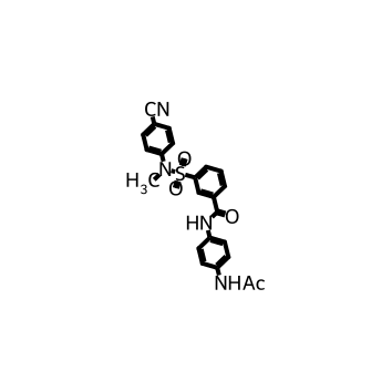 CC(=O)Nc1ccc(NC(=O)c2cccc(S(=O)(=O)N(C)c3ccc(C#N)cc3)c2)cc1